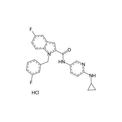 Cl.O=C(Nc1ccc(NC2CC2)nc1)c1cc2cc(F)ccc2n1Cc1cccc(F)c1